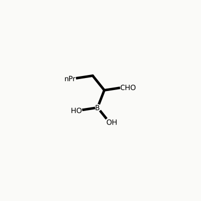 CCCCC(C=O)B(O)O